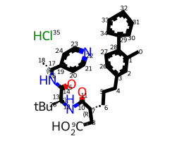 Cc1cc(CCC[C@H](CC(=O)O)C(=O)N[C@H](C(=O)N[C@H](C)c2ccncc2)C(C)(C)C)ccc1-c1ccccc1.Cl